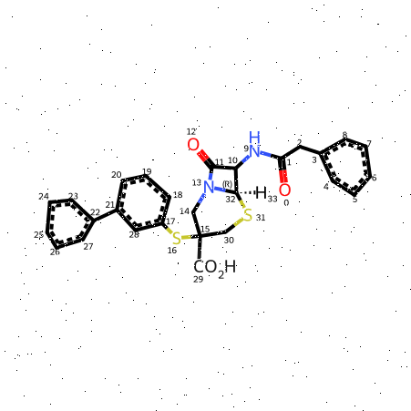 O=C(Cc1ccccc1)NC1C(=O)N2CC(Sc3cccc(-c4ccccc4)c3)(C(=O)O)CS[C@H]12